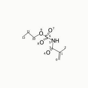 C=C(C)C(=O)NS(=O)(=O)OCCC